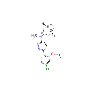 COc1cc(Cl)ccc1-c1ccc(N(C)[C@H]2C[C@@H]3CC[C@@H](C3)C2)nn1